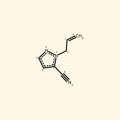 C=CCn1nccc1C#N